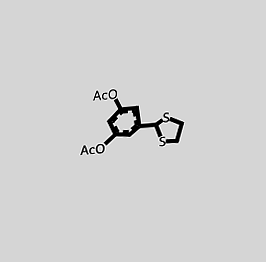 CC(=O)Oc1cc(OC(C)=O)cc(C2SCCS2)c1